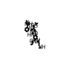 C=CC(=O)Nc1cc(Nc2ncc(C(=O)OC(C)C)c(Nc3ccccc3-c3ccn(C)n3)n2)c(OC)cc1N(C)CCCNC